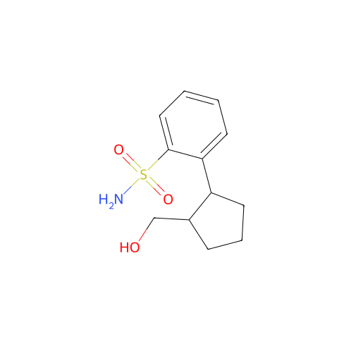 NS(=O)(=O)c1ccccc1C1CCCC1CO